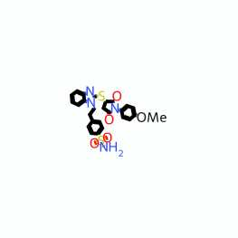 COc1ccc(N2C(=O)CC(Sc3nc4ccccc4n3CCc3ccc(S(N)(=O)=O)cc3)C2=O)cc1